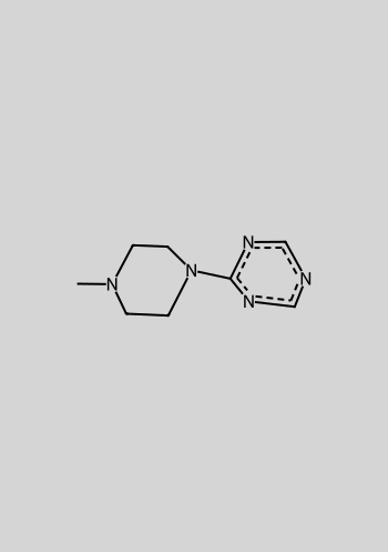 CN1CCN(c2ncncn2)CC1